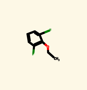 CCOc1c(F)cccc1F